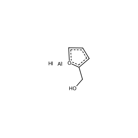 I.OCc1ccco1.[Al]